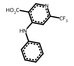 O=C(O)c1cnc(C(F)(F)F)cc1Nc1ccccc1